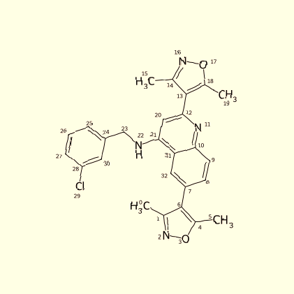 Cc1noc(C)c1-c1ccc2nc(-c3c(C)noc3C)cc(NCc3cccc(Cl)c3)c2c1